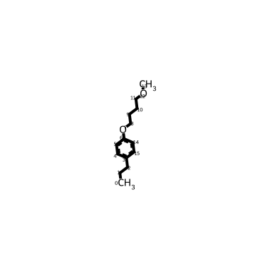 CCCc1ccc(OCCCCOC)cc1